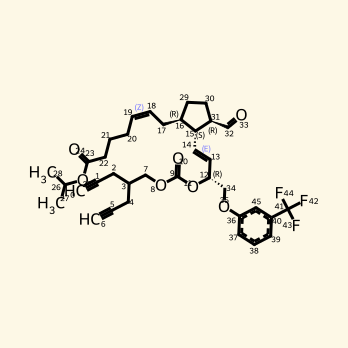 C#CCC(CC#C)COC(=O)O[C@H](/C=C/[C@@H]1[C@@H](C/C=C\CCCC(=O)OC(C)C)CC[C@H]1C=O)COc1cccc(C(F)(F)F)c1